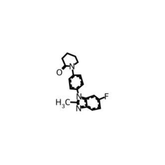 Cc1nc2ccc(F)cc2n1-c1ccc(N2CCCCC2=O)cc1